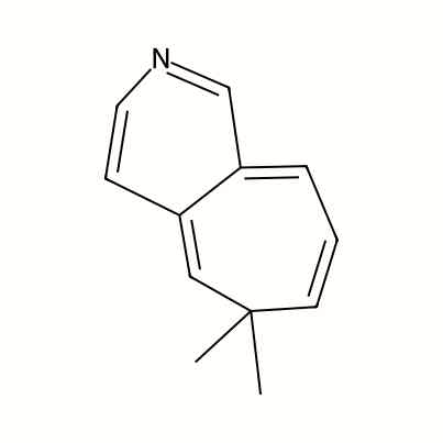 CC1(C)C=CC=c2cnccc2=C1